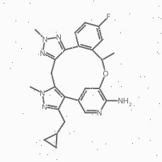 CC1Oc2cc(cnc2N)-c2c(CC3CC3)nn(C)c2Cc2nn(C)nc2-c2ccc(F)cc21